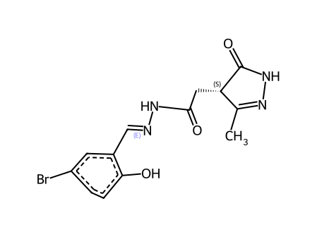 CC1=NNC(=O)[C@H]1CC(=O)N/N=C/c1cc(Br)ccc1O